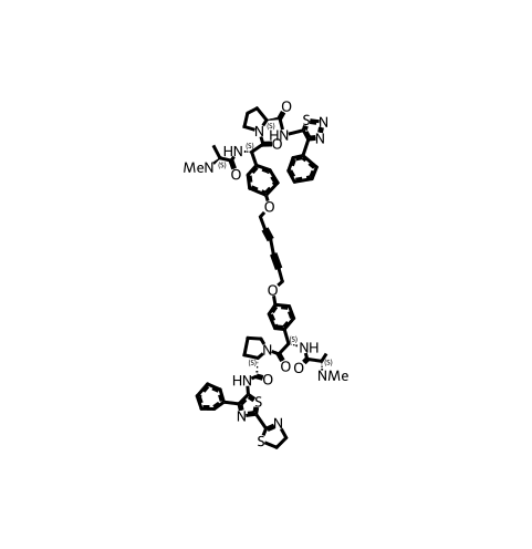 CN[C@@H](C)C(=O)N[C@H](C(=O)N1CCC[C@H]1C(=O)Nc1snnc1-c1ccccc1)c1ccc(OCC#CC#CCOc2ccc([C@H](NC(=O)[C@H](C)NC)C(=O)N3CCC[C@H]3C(=O)Nc3sc(C4=NCCS4)nc3-c3ccccc3)cc2)cc1